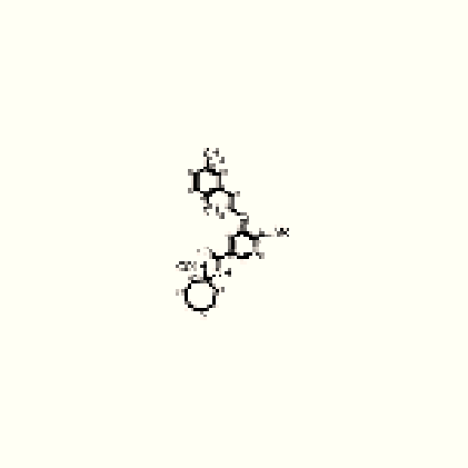 COc1ncc(C(=O)NC2(C(=O)O)CCCCCC2)cc1OCCc1cc(C)ccc1C